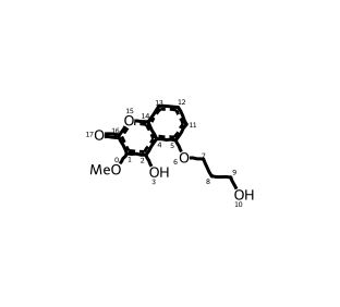 COc1c(O)c2c(OCCCO)cccc2oc1=O